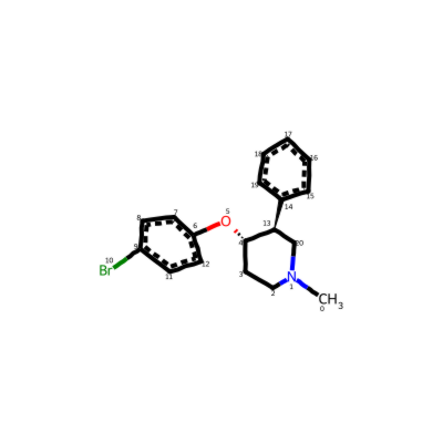 CN1CC[C@H](Oc2ccc(Br)cc2)[C@@H](c2ccccc2)C1